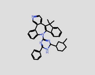 CC1CCCC(C2N=C(N3C4=C(c5ccncc5-c5ccccc53)C(C)(C)c3ccccc34)N=C(c3ccccc3)N2)C1